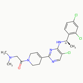 C[C@@H](Nc1nc(C2=CCN(C(=O)CN(C)C)CC2)ncc1Cl)c1ccc(Cl)cc1Cl